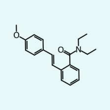 CCN(CC)C(=O)c1ccccc1/C=C/c1ccc(OC)cc1